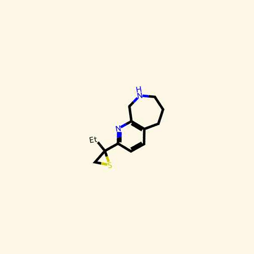 CCC1(c2ccc3c(n2)CNCCC3)CS1